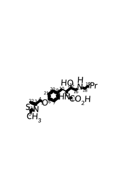 Cc1nc(COc2ccc(C[C@H](NC(=O)O)[C@H](O)CNCC(C)C)cc2)cs1